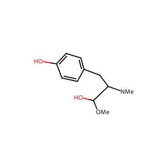 CNC(Cc1ccc(O)cc1)C(O)OC